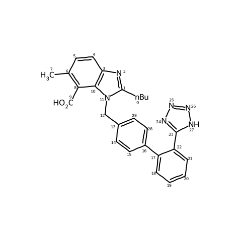 CCCCc1nc2ccc(C)c(C(=O)O)c2n1Cc1ccc(-c2ccccc2-c2nnn[nH]2)cc1